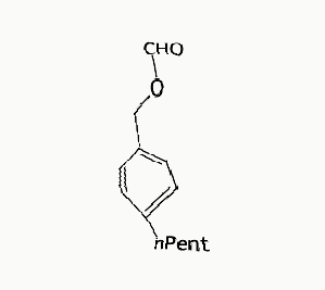 CCCCCc1ccc(COC=O)cc1